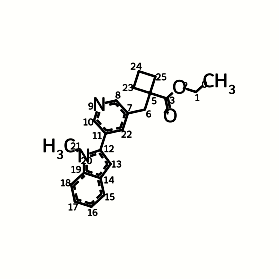 CCOC(=O)C1(Cc2cncc(-c3cc4ccccc4n3C)c2)CCC1